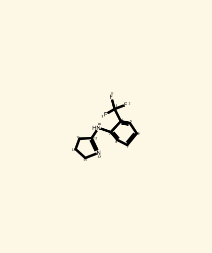 FC(F)(F)c1ccccc1NC1=NCCC1